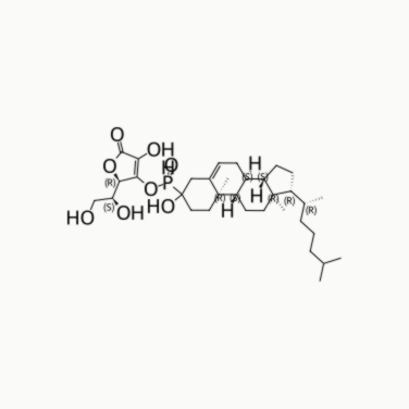 CC(C)CCC[C@@H](C)[C@H]1CC[C@H]2[C@@H]3CC=C4CC(O)([PH](=O)OC5=C(O)C(=O)O[C@@H]5[C@@H](O)CO)CC[C@]4(C)[C@H]3CC[C@]12C